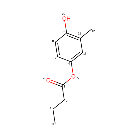 CCCC(=O)Oc1ccc(O)c(C)c1